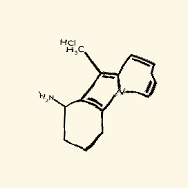 Cc1c2c(n3ccccc13)CCCC2N.Cl